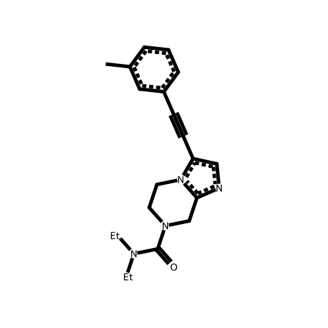 CCN(CC)C(=O)N1CCn2c(C#Cc3cccc(C)c3)cnc2C1